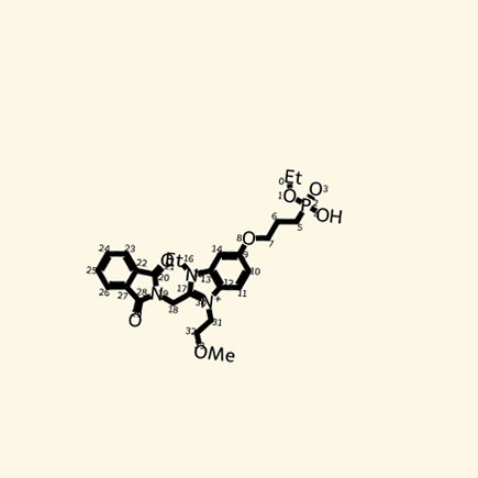 CCOP(=O)(O)CCCOc1ccc2c(c1)n(CC)c(CN1C(=O)c3ccccc3C1=O)[n+]2CCOC